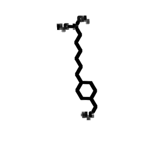 [CH2]CC1CCC(CCCCCCN(C)C)CC1